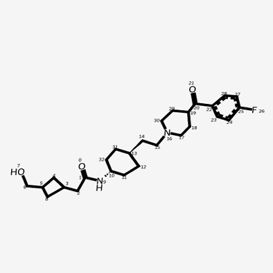 O=C(CC1CC(CO)C1)N[C@H]1CC[C@H](CCN2CCC(C(=O)c3ccc(F)cc3)CC2)CC1